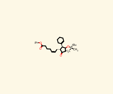 CC(C)OC(=O)CCC/C=C\C[C@H]1C(=O)CC(O[Si](C)(C)C(C)(C)C)[C@@H]1C1=CCCCC1